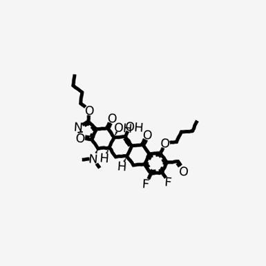 CCCCOc1noc2c1C(=O)[C@@]1(O)C(O)=C3C(=O)c4c(c(F)c(F)c(C=O)c4OCCCC)C[C@H]3C[C@H]1[C@@H]2N(C)C